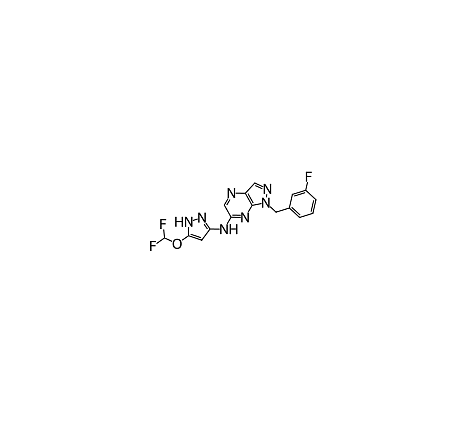 Fc1cccc(Cn2ncc3ncc(Nc4cc(OC(F)F)[nH]n4)nc32)c1